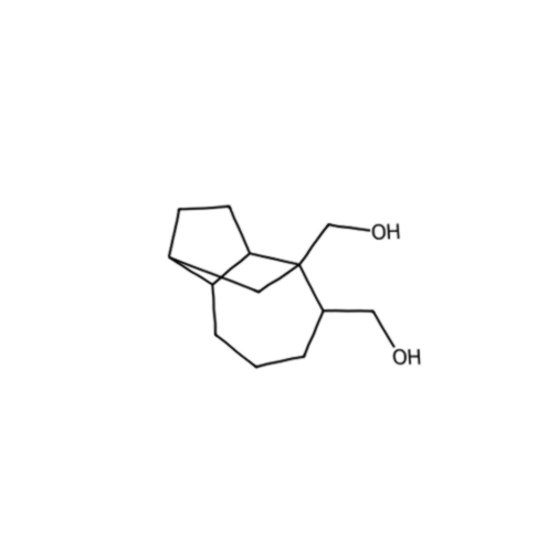 OCC1CCCC2C3CCC2C1(CO)C3